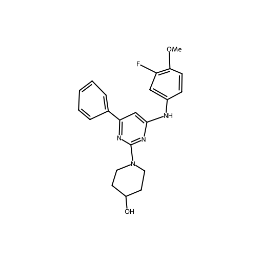 COc1ccc(Nc2cc(-c3ccccc3)nc(N3CCC(O)CC3)n2)cc1F